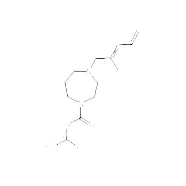 C=C/C=C(\C)CN1CCCN(C(=O)OC(C(F)(F)F)C(F)(F)F)CC1